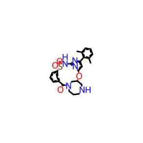 Cc1cccc(C)c1-c1cc2nc(n1)NS(=O)(=O)c1cccc(c1)C(=O)N1CCCNCC(C1)O2